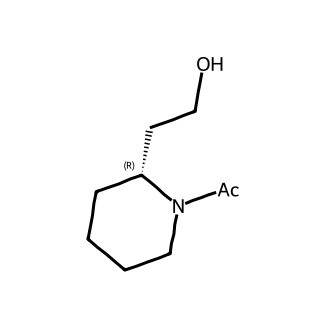 CC(=O)N1CCCC[C@@H]1CCO